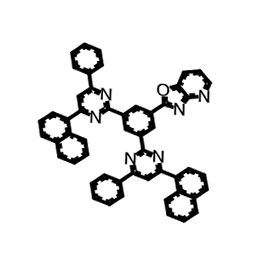 c1ccc(-c2cc(-c3cccc4ccccc34)nc(-c3cc(-c4nc(-c5ccccc5)cc(-c5cccc6ccccc56)n4)cc(-c4nc5ncccc5o4)c3)n2)cc1